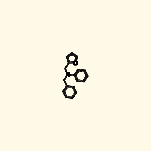 c1ccc(CN(Cc2ccco2)c2ccccc2)cc1